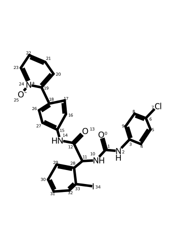 O=C(Nc1ccc(Cl)cc1)NC(C(=O)Nc1ccc(-c2cccc[n+]2[O-])cc1)c1ccccc1I